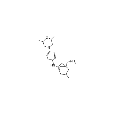 CC1CC2=C(Nc3ccc(N4CC(C)OC(C)C4)cc3)CC(CN)(C2)C1